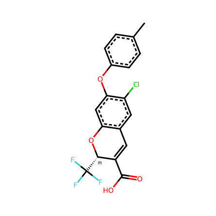 Cc1ccc(Oc2cc3c(cc2Cl)C=C(C(=O)O)[C@H](C(F)(F)F)O3)cc1